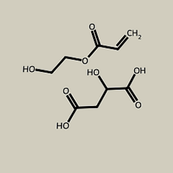 C=CC(=O)OCCO.O=C(O)CC(O)C(=O)O